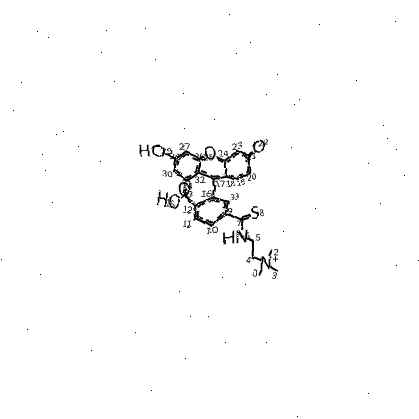 C[N+](C)(C)CCNC(=S)c1ccc(C(=O)O)c(-c2c3ccc(=O)cc-3oc3cc(O)ccc23)c1